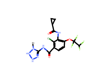 CCN1NNN=C1NC(=O)c1ccc(OC(F)(F)C(F)F)c(NC(=O)C2CC2)c1Cl